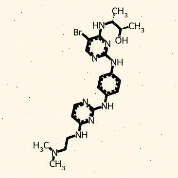 C[C@@H](O)[C@@H](C)Nc1nc(Nc2ccc(Nc3nccc(NCCN(C)C)n3)cc2)ncc1Br